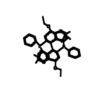 CCOc1cc(P(c2ccccc2)c2ccccc2)c(-c2c(P(c3ccccc3)c3ccccc3)cc(OCC)c3c2OC(C)(C)O3)c2c1OC(C)(C)O2